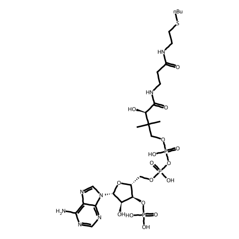 CCCCSCCNC(=O)CCNC(=O)[C@H](O)C(C)(C)COP(=O)(O)OP(=O)(O)OC[C@H]1O[C@@H](n2cnc3c(N)ncnc32)[C@H](O)[C@@H]1OP(=O)(O)O